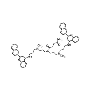 CN(CCCNc1cc(-c2ccc3ccccc3c2)nc2ccccc12)CCCN(CCCN(C)CCCNc1cc(-c2ccc3ccccc3c2)nc2ccccc12)C(=O)CCC(N)=O